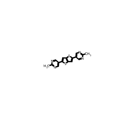 Cc1ncc(-c2cc3sc(-c4cnc(C)nc4)cc3s2)cn1